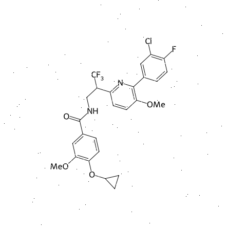 COc1cc(C(=O)NCC(c2ccc(OC)c(-c3ccc(F)c(Cl)c3)n2)C(F)(F)F)ccc1OC1CC1